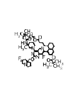 CCOC(=O)CCCC1CCCc2cc(OC(=O)C(C)(C)C)cc(-c3ncc4c(N5CCC[C@@](C)(NC(=O)OC(C)(C)C)C5)nc(OC[C@@]56CCCN5C[C@H](F)C6)nc4c3F)c21